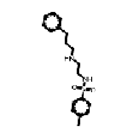 Cc1ccc(S(=O)(=O)NCCNCCCc2ccccc2)cc1